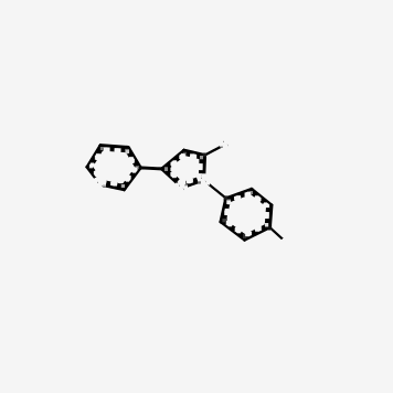 Cc1ccc(-n2nc(-c3cccnc3)cc2N)cc1